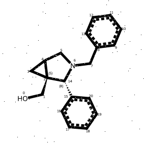 OC[C@@]12CC1CN(Cc1ccccc1)[C@@H]2c1ccccc1